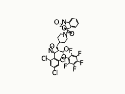 O=C(Oc1c(F)c(F)c(F)c(F)c1F)c1c(-c2c(Cl)cc(Cl)cc2Cl)noc1C1CCN(S(=O)(=O)c2ccccc2[N+](=O)[O-])CC1